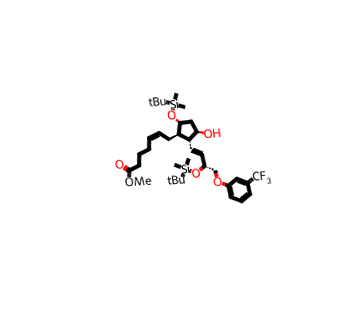 COC(=O)CCC/C=C\C[C@@H]1[C@@H](/C=C/[C@H](COc2cccc(C(F)(F)F)c2)O[Si](C)(C)C(C)(C)C)[C@H](O)C[C@@H]1O[Si](C)(C)C(C)(C)C